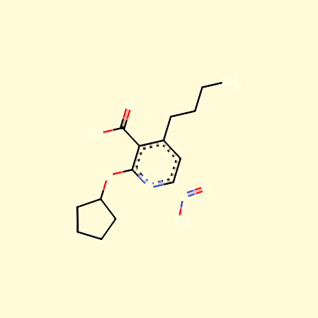 CCCCc1ccnc(OC2CCCC2)c1C(=O)O.O=NO